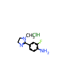 CN1CCN=C1c1ccc(N)c(F)c1.Cl